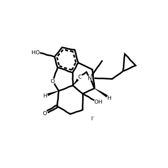 C[N+]1(CC2CC2)CC[C@]23c4c5ccc(O)c4O[C@H]2C(=O)CCC3(O)[C@H]1C5.[I-]